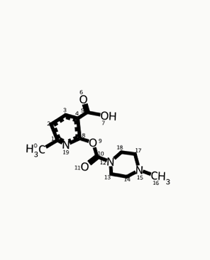 Cc1ccc(C(=O)O)c(OC(=O)N2CCN(C)CC2)n1